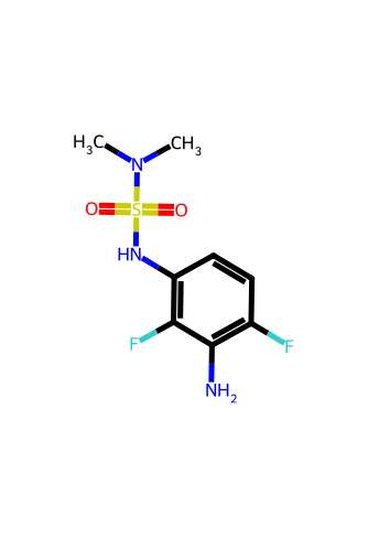 CN(C)S(=O)(=O)Nc1ccc(F)c(N)c1F